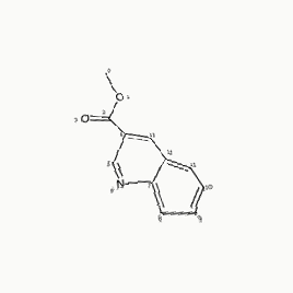 COC(=O)c1cnc2cc[c]cc2c1